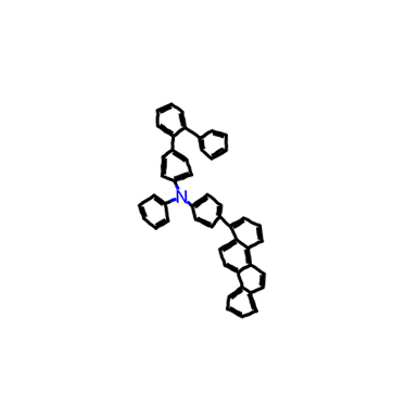 c1ccc(-c2ccccc2-c2ccc(N(c3ccccc3)c3ccc(-c4cccc5c4ccc4c6ccccc6ccc54)cc3)cc2)cc1